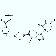 Cn1nc(N2CCC(=O)NC2=O)c2ccc(N3CCN(C[C@@H]4CCN(C(=O)OC(C)(C)C)C4)CC3)c(F)c21